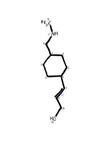 CNCC1CCC(/C=C/CO)CC1